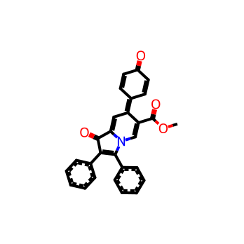 COC(=O)C1=CN2C(=CC1=C1C=CC(=O)C=C1)C(=O)C(c1ccccc1)=C2c1ccccc1